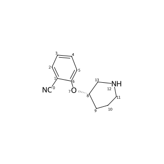 N#Cc1ccccc1O[C@H]1CCCNC1